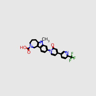 Cn1c2c(c3ccc(-n4ccc(-c5ccc(C(F)(F)F)nc5)cc4=O)cc31)CN(C(=O)O)CCC2